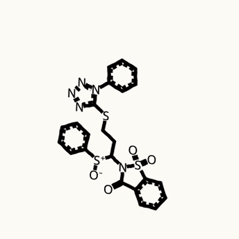 O=C1c2ccccc2S(=O)(=O)N1C(CCSc1nnnn1-c1ccccc1)[S+]([O-])c1ccccc1